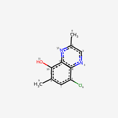 Cc1cnc2c(Cl)cc(C)c(O)c2n1